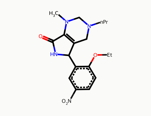 CCCN1CC2=C(C(=O)NC2c2cc([N+](=O)[O-])ccc2OCC)N(C)C1